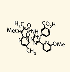 COc1cccc(-c2nnc(NS(=O)(=O)[C@@H](C)[C@H](OC)c3ncc(C)cn3)n2-c2cccc(C(=O)O)c2)n1